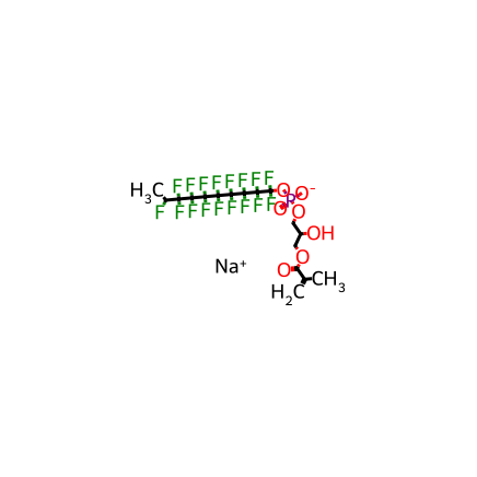 C=C(C)C(=O)OCC(O)COP(=O)([O-])OC(F)(F)C(F)(F)C(F)(F)C(F)(F)C(F)(F)C(F)(F)C(F)(F)C(F)(F)C(C)F.[Na+]